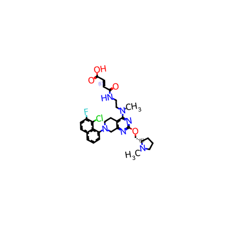 CN(CCNC(=O)/C=C/C(=O)O)c1nc(OC[C@@H]2CCCN2C)nc2c1CCN(c1cccc3ccc(F)c(Cl)c13)C2